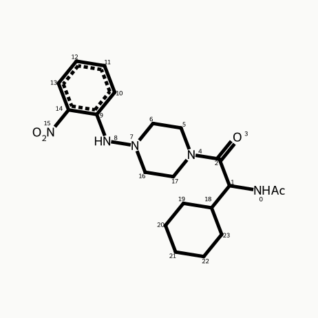 CC(=O)NC(C(=O)N1CCN(Nc2ccccc2[N+](=O)[O-])CC1)C1CCCCC1